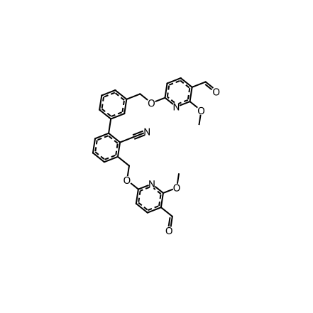 COc1nc(OCc2cccc(-c3cccc(COc4ccc(C=O)c(OC)n4)c3C#N)c2)ccc1C=O